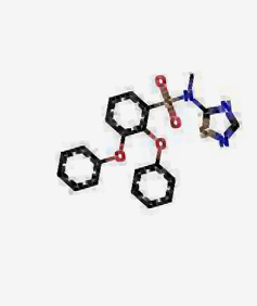 CN(c1ncns1)S(=O)(=O)c1cccc(Oc2ccccc2)c1Oc1ccccc1